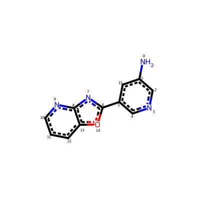 Nc1cncc(-c2nc3ncccc3o2)c1